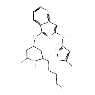 Cc1cc(Nc2cc3ncccc3c(NC3CC(C)NC(CCCCF)C3)n2)n[nH]1